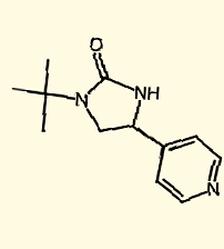 CC(C)(C)N1CC(c2ccncc2)NC1=O